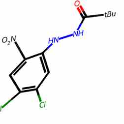 CC(C)(C)C(=O)NNc1cc(Cl)c(Cl)cc1[N+](=O)[O-]